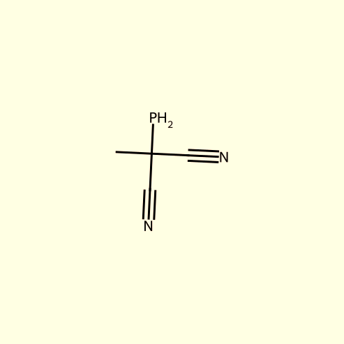 CC(P)(C#N)C#N